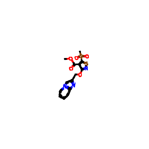 COC(=O)c1c(OCc2cn3ccccc3n2)nsc1S(C)(=O)=O